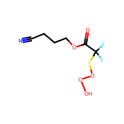 N#CCCCOC(=O)C(F)(F)SOOO